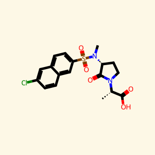 C[C@@H](C(=O)O)N1CC[C@@H](N(C)S(=O)(=O)c2ccc3cc(Cl)ccc3c2)C1=O